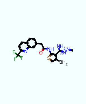 Bc1csc(NC(=O)Cc2ccc3ccc(C(F)(F)F)nc3c2)c1/C(N)=N/N=C